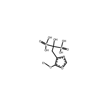 CCOc1ocnc1CC(O)(P(=O)(O)O)P(=O)(O)O